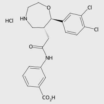 Cl.O=C(C[C@@H]1CNCCO[C@H]1c1ccc(Cl)c(Cl)c1)Nc1cccc(C(=O)O)c1